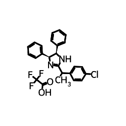 CC(C1=N[C@@H](c2ccccc2)[C@@H](c2ccccc2)N1)c1ccc(Cl)cc1.O=C(O)C(F)(F)F